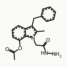 CC(=O)Oc1cccc2c(Cc3ccccc3)c(C)n(CC(=O)NN)c12